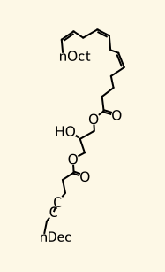 CCCCCCCC/C=C\C/C=C\C/C=C\CCCC(=O)OC[C@H](O)COC(=O)CCCCCCCCCCCCCCC